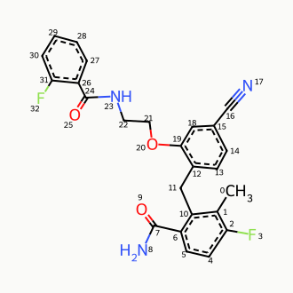 Cc1c(F)ccc(C(N)=O)c1Cc1ccc(C#N)cc1OCCNC(=O)c1ccccc1F